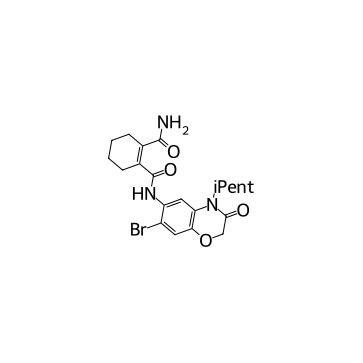 CCCC(C)N1C(=O)COc2cc(Br)c(NC(=O)C3=C(C(N)=O)CCCC3)cc21